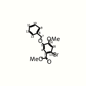 COC(=O)c1cc(OCc2ccccc2)c(OC)cc1Br